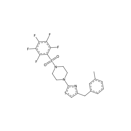 Cc1cccc(Cc2csc(N3CCN(S(=O)(=O)c4c(F)c(F)c(F)c(F)c4F)CC3)n2)c1